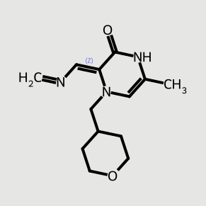 C=N/C=C1/C(=O)NC(C)=CN1CC1CCOCC1